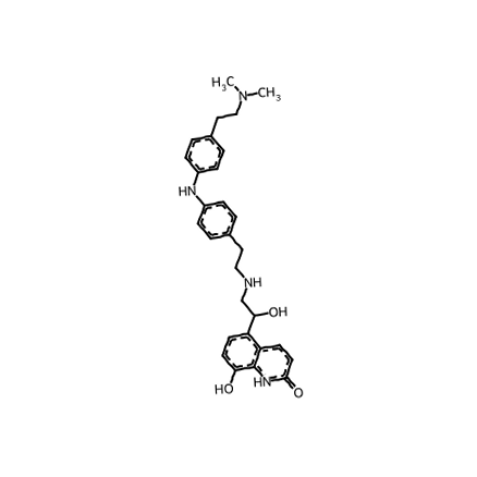 CN(C)CCc1ccc(Nc2ccc(CCNCC(O)c3ccc(O)c4[nH]c(=O)ccc34)cc2)cc1